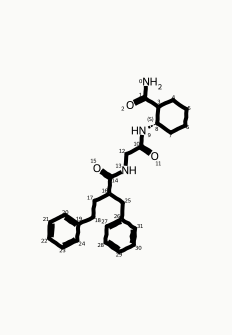 NC(=O)C1CCCC[C@@H]1NC(=O)CNC(=O)C(CCc1ccccc1)Cc1ccccc1